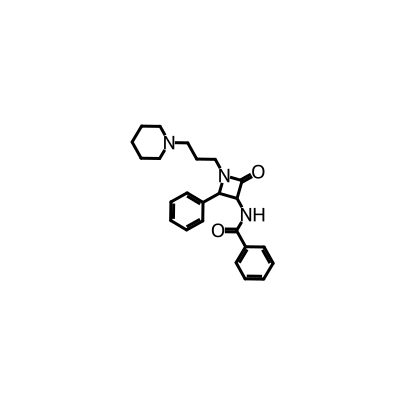 O=C(NC1C(=O)N(CCCN2CCCCC2)C1c1ccccc1)c1ccccc1